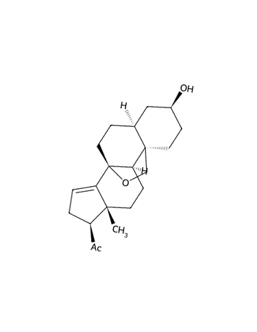 CC(=O)[C@H]1CC=C2[C@]1(C)CC[C@@H]1[C@@]34CC[C@H](O)C[C@@H]3CC[C@@]21OC4